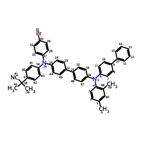 Cc1ccc(N(c2ccc(-c3ccccc3)cc2)c2ccc(-c3ccc(N(c4ccc(Br)cc4)c4ccc(C(C)(C)C#N)cc4)cc3)cc2)c(C)c1